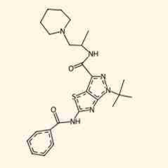 CC(CN1CCCCC1)NC(=O)c1nn(C(C)(C)C)c2nc(NC(=O)c3ccccc3)sc12